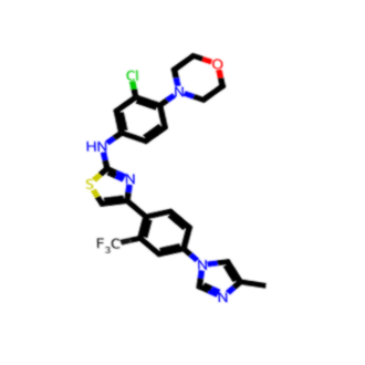 Cc1cn(-c2ccc(-c3csc(Nc4ccc(N5CCOCC5)c(Cl)c4)n3)c(C(F)(F)F)c2)cn1